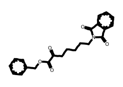 O=C(CCCCCN1C(=O)c2ccccc2C1=O)C(=O)OCc1ccccc1